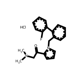 CN(C)CC(=O)c1cccn1Cc1ccccc1-c1ccccc1F.Cl